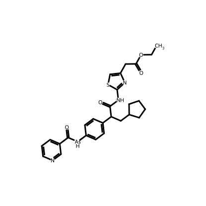 CCOC(=O)Cc1csc(NC(=O)C(CC2CCCC2)c2ccc([AsH]C(=O)c3cccnc3)cc2)n1